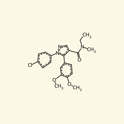 CCN(C)C(=O)c1cnn(-c2ccc(Cl)cc2)c1-c1ccc(OC)c(OC)c1